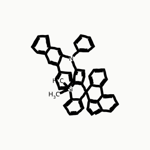 C[Si]1(C)c2ccccc2C2(c3ccccc3-c3cccc4cccc2c34)c2ccc(N(c3ccccc3)c3cc4ccccc4cc3-c3ccccc3)cc21